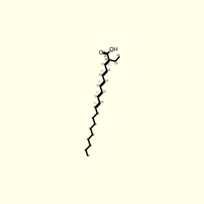 CCCCCCCCC/C=C/C=C/C=C/C=C/C=C(\CC)C(=O)O